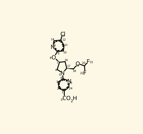 O=C(O)c1ccc(N2C[C@@H](Oc3ccc(Cl)cn3)C[C@H]2COC(F)F)nc1